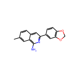 Cc1ccc2cc(-c3ccc4c(c3)OCO4)nc(N)c2c1